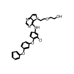 OCCOCCn1ccc2ncnc(Nc3ccc(Oc4cccc(Oc5ccccc5)c4)c(Cl)c3)c21